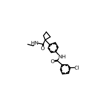 CCNC(=O)C1(c2ccc(NC(=O)c3cccc(Cl)c3)cc2)CCC1